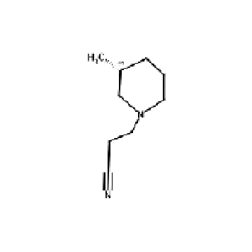 C[C@@H]1CCCN(CCC#N)C1